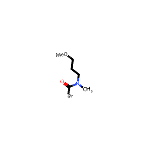 COCCCN(C)C(=O)C(C)C